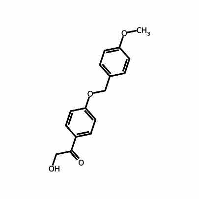 COc1ccc(COc2ccc(C(=O)CO)cc2)cc1